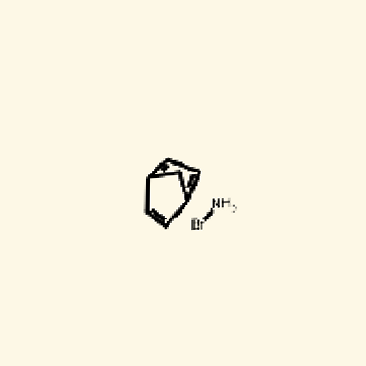 C1=CC2=CC=C1C2.NBr